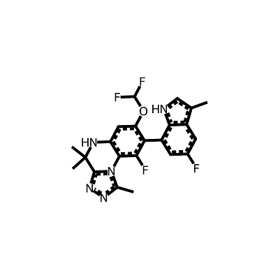 Cc1c[nH]c2c(-c3c(OC(F)F)cc4c(c3F)-n3c(C)nnc3C(C)(C)N4)cc(F)cc12